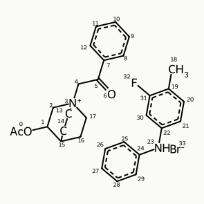 CC(=O)OC1C[N+]2(CC(=O)c3ccccc3)CCC1CC2.Cc1ccc(Nc2ccccc2)cc1F.[Br-]